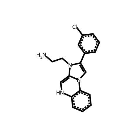 NCCN1C(c2cccc(Cl)c2)=CN2C1=CNc1ccccc12